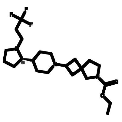 CCOC(=O)N1CCC2(CC(N3CCC([C@@H]4CCCN4CCC(F)(F)F)CC3)C2)C1